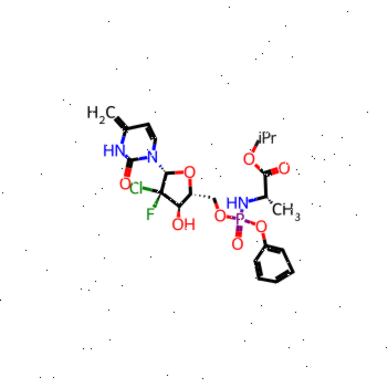 C=C1C=CN([C@@H]2O[C@H](COP(=O)(N[C@@H](C)C(=O)OC(C)C)Oc3ccccc3)[C@@H](O)[C@]2(F)Cl)C(=O)N1